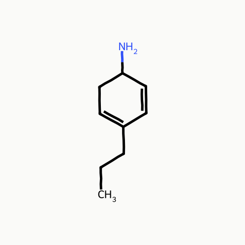 CCCC1=CCC(N)C=C1